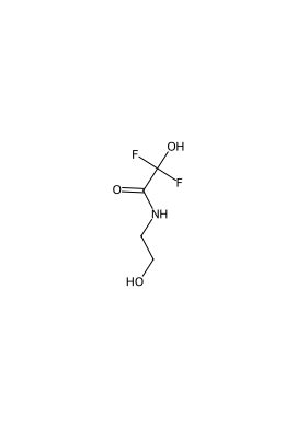 O=C(NCCO)C(O)(F)F